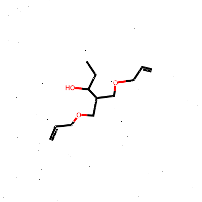 C=CCOCC(COCC=C)C(O)CC